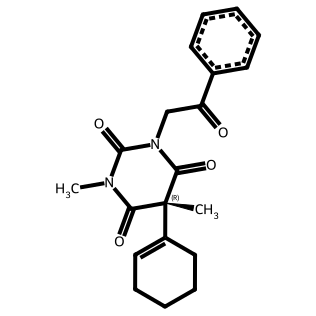 CN1C(=O)N(CC(=O)c2ccccc2)C(=O)[C@](C)(C2=CCCCC2)C1=O